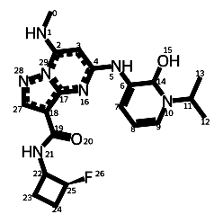 CNc1cc(NC2=CC=CN(C(C)C)C2O)nc2c(C(=O)NC3CC[C@@H]3F)cnn12